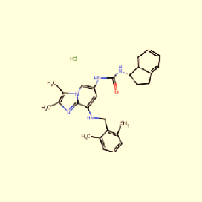 Cc1cccc(C)c1CNc1cc(NC(=O)N[C@H]2CCc3ccccc32)cn2c(C)c(C)nc12.Cl